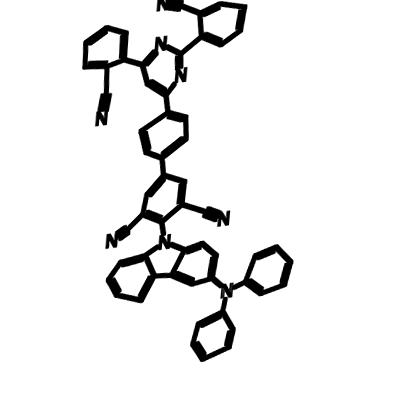 N#Cc1ccccc1-c1cc(-c2ccc(-c3cc(C#N)c(-n4c5ccccc5c5cc(N(c6ccccc6)c6ccccc6)ccc54)c(C#N)c3)cc2)nc(-c2ccccc2C#N)n1